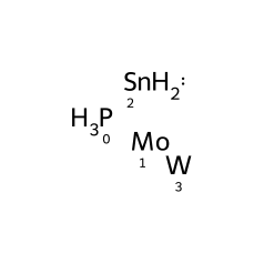 P.[Mo].[SnH2].[W]